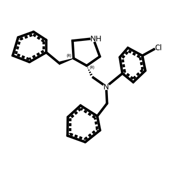 Clc1ccc(N(Cc2ccccc2)C[C@H]2CNC[C@@H]2Cc2ccccc2)cc1